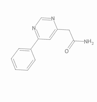 NC(=O)Cc1cc(-c2ccccc2)ncn1